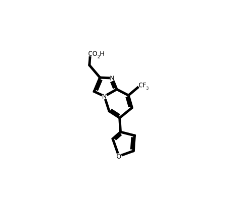 O=C(O)Cc1cn2cc(-c3ccoc3)cc(C(F)(F)F)c2n1